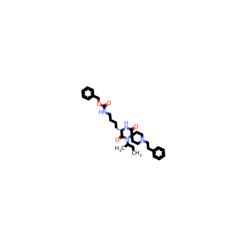 CCC(C)N1C(=O)[C@H](CCCCNC(=O)OCc2ccccc2)NC(=O)C12CCN(CCc1ccccc1)CC2